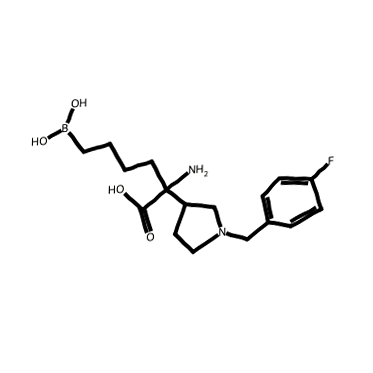 NC(CCCCB(O)O)(C(=O)O)C1CCN(Cc2ccc(F)cc2)C1